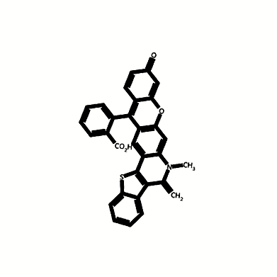 C=C1c2c(sc3ccccc23)-c2cc3c(-c4ccccc4C(=O)O)c4ccc(=O)cc-4oc3cc2N1C